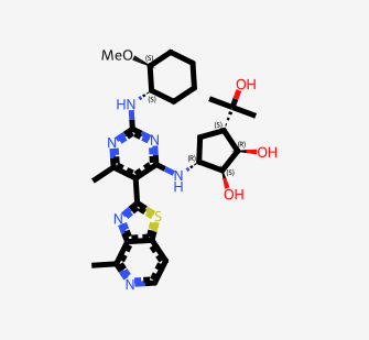 CO[C@H]1CCCC[C@@H]1Nc1nc(C)c(-c2nc3c(C)nccc3s2)c(N[C@@H]2C[C@H](C(C)(C)O)[C@@H](O)[C@H]2O)n1